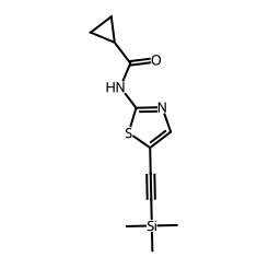 C[Si](C)(C)C#Cc1cnc(NC(=O)C2CC2)s1